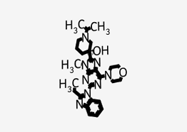 CCc1nc2ccccc2n1-c1nc(N2CCOCC2)c2nc([C@@]3(O)CCCN(C(C)C)C3)n(C)c2n1